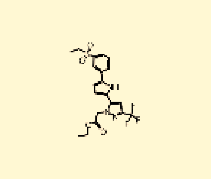 CCOC(=O)Cn1nc(C(F)(F)F)cc1-c1ccc(-c2cccc(S(=O)(=O)CC)c2)[nH]1